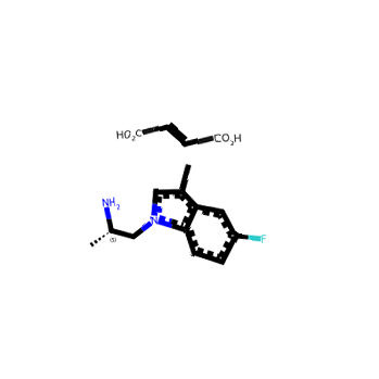 Cc1cn(C[C@H](C)N)c2ccc(F)cc12.O=C(O)C=CC(=O)O